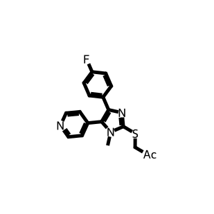 CC(=O)CSc1nc(-c2ccc(F)cc2)c(-c2ccncc2)n1C